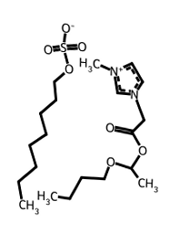 CCCCCCCCOS(=O)(=O)[O-].CCCCOC(C)OC(=O)Cn1cc[n+](C)c1